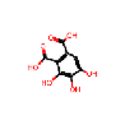 O=C(O)c1cc(O)c(O)c(O)c1C(=O)O